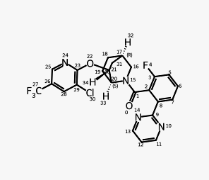 O=C(c1c(F)cccc1-c1ncccn1)N1C[C@@H]2CC[C@H]1[C@H](Oc1ncc(C(F)(F)F)cc1Cl)C2